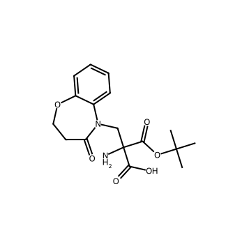 CC(C)(C)OC(=O)C(N)(CN1C(=O)CCOc2ccccc21)C(=O)O